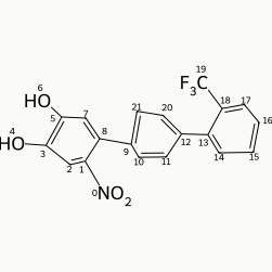 O=[N+]([O-])c1cc(O)c(O)cc1-c1ccc(-c2ccccc2C(F)(F)F)cc1